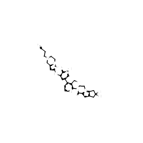 Cn1cc(-c2ccnc(N3CCn4c(cc5c4CC(C)(C)C5)C3=O)c2CO)cc(Nc2cc3n(n2)CCN(CCC#N)C3)c1=O